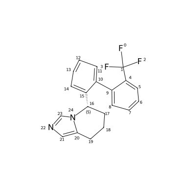 FC(F)(F)c1ccccc1-c1ccccc1[C@@H]1CCCc2cncn21